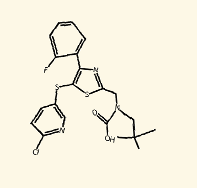 CC(C)(C)CN(Cc1nc(-c2ccccc2F)c(Sc2ccc(Cl)nc2)s1)C(=O)O